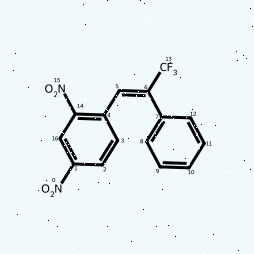 O=[N+]([O-])c1ccc(C=C(c2ccccc2)C(F)(F)F)c([N+](=O)[O-])c1